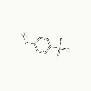 O=S(=O)(F)c1ccc(SC(F)(F)F)cc1